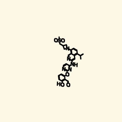 CC(C)c1ccc(N2CC(CS(C)(=O)=O)C2)c2cnc(Nc3ccnc(Oc4cccc(O)c4C=O)n3)cc12